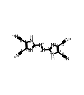 N#Cc1nc(N=Nc2nc(C#N)c(C#N)[nH]2)[nH]c1C#N